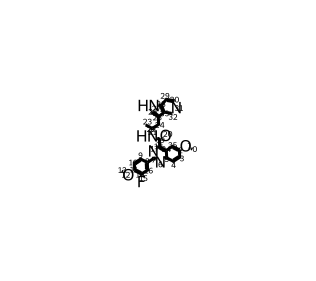 COc1ccc2nc(-c3ccc(OC)c(F)c3)nc(C(=O)NC(C)Cc3c[nH]c4ccncc34)c2c1